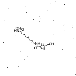 C#Cc1nc(C(=O)NCCCCCCCC(=O)NO)cs1